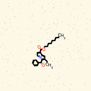 CCCCCCCCCOC(=O)C1=CCn2c1cc(CC)c2C(=O)c1ccccc1